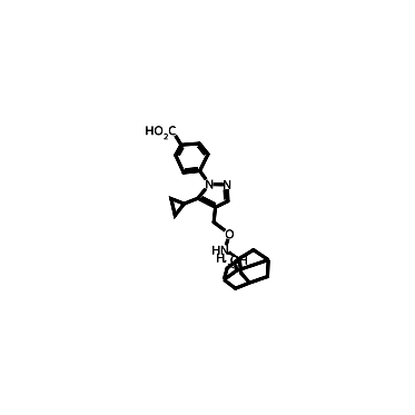 O=C(O)c1ccc(-n2ncc(CON[C@]34CC5CC(C3)[C@H](O)C(C5)C4)c2C2CC2)cc1